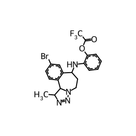 CC1N=NN2CCC(Nc3ccccc3OC(=O)C(F)(F)F)c3cc(Br)ccc3C12